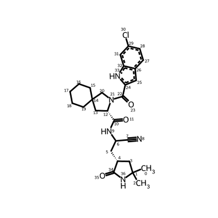 CC1(C)C[C@@H](CC(C#N)NC(=O)[C@@H]2CC3(CCCCC3)CN2C(=O)c2cc3ccc(Cl)cc3[nH]2)C(=O)N1